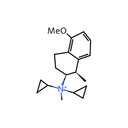 COc1cccc2c1CC[C@H]([N+](C)(C1CC1)C1CC1)[C@@H]2C